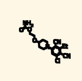 CCc1c(C#N)c(Cl)cc(N2CCC(OCCOC(N)=O)CC2)c1C#N